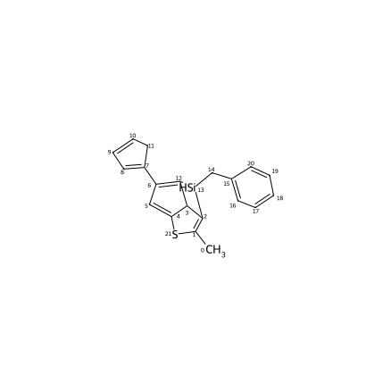 CC1=C2C3C(=CC(C4=CC=CC4)=C3[SiH]2Cc2ccccc2)S1